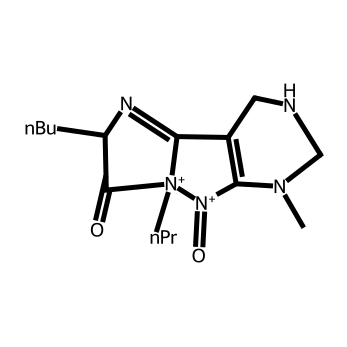 CCCCC1N=C2C3=C(N(C)CNC3)[N+](=O)[N+]2(CCC)C1=O